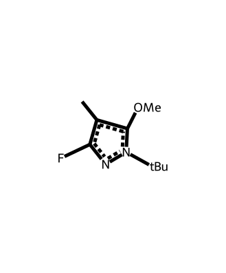 COc1c(C)c(F)nn1C(C)(C)C